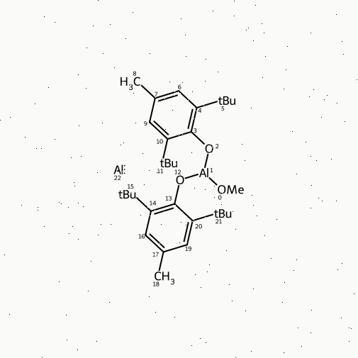 C[O][Al]([O]c1c(C(C)(C)C)cc(C)cc1C(C)(C)C)[O]c1c(C(C)(C)C)cc(C)cc1C(C)(C)C.[Al]